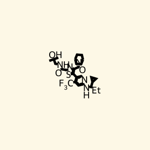 CCC(Nc1cc(C(F)(F)F)c(-c2sc(C(=O)NCC(C)(C)O)nc2C(=O)N2C3CCC2CC3)cn1)C1CC1